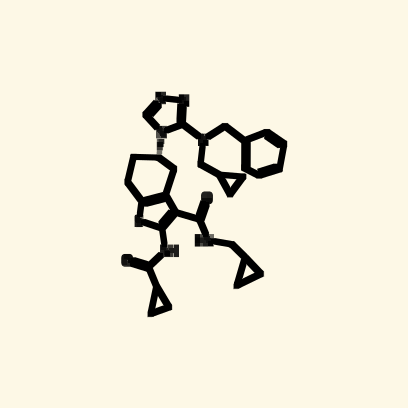 O=C(NCC1CC1)c1c(NC(=O)C2CC2)sc2c1C[C@@H](n1cnnc1N(Cc1ccccc1)CC1CC1)CC2